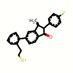 C=C1c2cc(-c3ccccc3CCS)ccc2C(=O)C1c1ccc(F)cc1